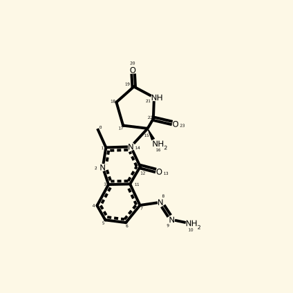 Cc1nc2cccc(N=NN)c2c(=O)n1[C@]1(N)CCC(=O)NC1=O